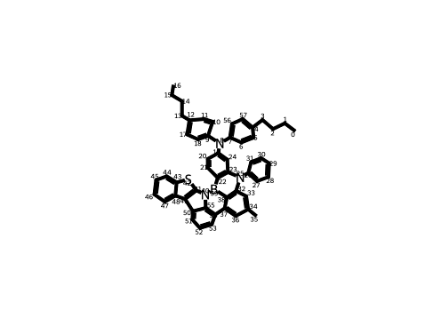 CCCCc1ccc(N(c2ccc(CCCC)cc2)c2ccc3c(c2)N(c2ccccc2)c2cc(C)cc4c2B3n2c3sc5ccccc5c3c3cccc-4c32)cc1